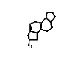 OC1CC2=CCC3C4CCCC4CCC3C2C1